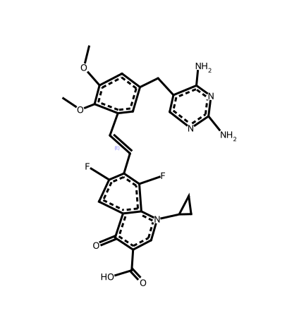 COc1cc(Cc2cnc(N)nc2N)cc(/C=C/c2c(F)cc3c(=O)c(C(=O)O)cn(C4CC4)c3c2F)c1OC